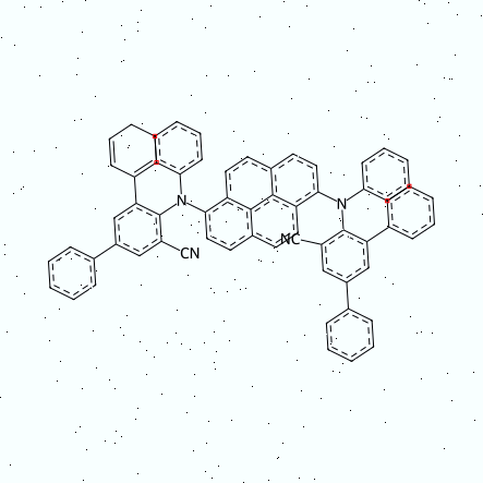 N#Cc1cc(-c2ccccc2)cc(C2=CCCC=C2)c1N(c1ccccc1)c1ccc2ccc3c(N(c4ccccc4)c4c(C#N)cc(-c5ccccc5)cc4-c4ccccc4)ccc4ccc1c2c43